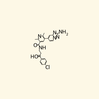 Cc1nc(C)c(-c2ccn3nc(N)nc3c2)cc1C(=O)NCC[C@H](O)c1ccc(Cl)cc1